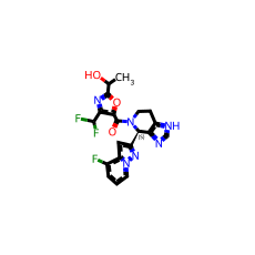 CC(O)c1nc(C(F)F)c(C(=O)N2CCc3[nH]cnc3[C@H]2c2cc3c(F)cccn3n2)o1